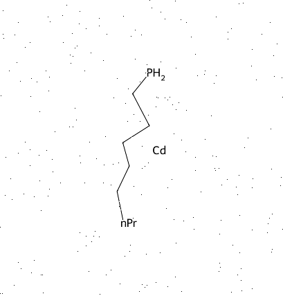 CCCCCCCCP.[Cd]